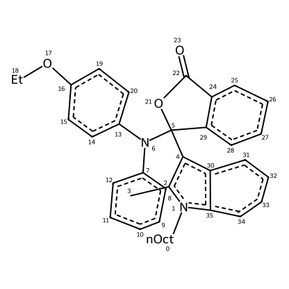 CCCCCCCCn1c(C)c(C2(N(c3ccccc3)c3ccc(OCC)cc3)OC(=O)c3ccccc32)c2ccccc21